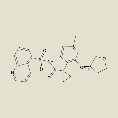 Cc1ccc(C2(C(=O)NS(=O)(=O)c3cccc4ncccc34)CC2)c(O[C@@H]2CCOC2)c1